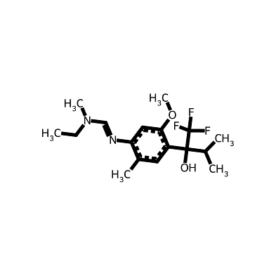 CCN(C)C=Nc1cc(OC)c(C(O)(C(C)C)C(F)(F)F)cc1C